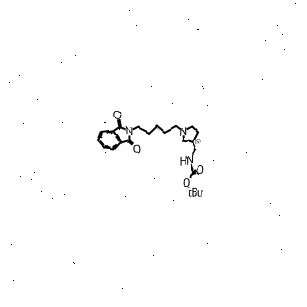 CC(C)(C)OC(=O)NC[C@@H]1CCN(CCCCCN2C(=O)c3ccccc3C2=O)C1